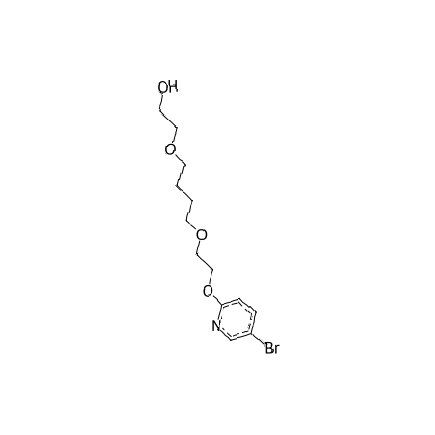 OCCOCCCCOCCOc1ccc(Br)cn1